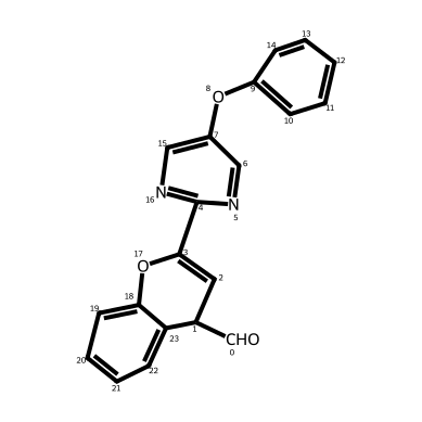 O=CC1C=C(c2ncc(Oc3ccccc3)cn2)Oc2ccccc21